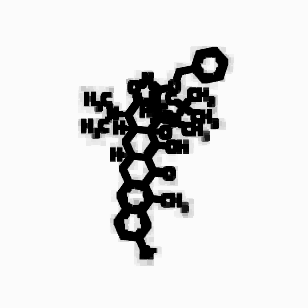 Cc1c2c(cc3ccc(Br)cc13)C[C@H]1C[C@H]3[C@H](N(C)C)c4onc(OCc5ccccc5)c4C(=O)[C@@]3(O[Si](C)(C)C(C)(C)C)C(O)=C1C2=O